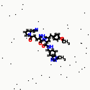 COc1ccc(CC2CC(C(=O)NCC3=Cc4nnn(C)c4CC3)N(C(=O)C(N)CCC(=O)N3CCCC3C#N)C2)cc1